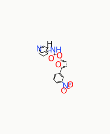 O=C(N[C@H]1CN2CCC1CC2)Oc1ccc(-c2cccc([N+](=O)[O-])c2)o1